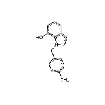 Cc1ccc(Cn2ccc3cccc(O)c32)cc1